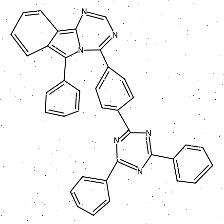 c1ccc(-c2nc(-c3ccccc3)nc(-c3ccc(-c4ncnc5c6ccccc6c(-c6ccccc6)n45)cc3)n2)cc1